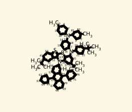 Cc1ccc(N(c2ccc(C)cc2)c2ccc3c(c2)N(c2ccc(C(C)(C)C)cc2)c2cc(C(C)(C)C)cc4c2B3c2sc3ccc(C(C)(C)C)cc3c2N4c2ccc3c(-c4ccccc4)c4ccccc4c(-c4ccccc4)c3c2)cc1